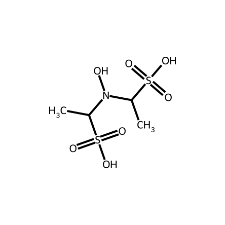 CC(N(O)C(C)S(=O)(=O)O)S(=O)(=O)O